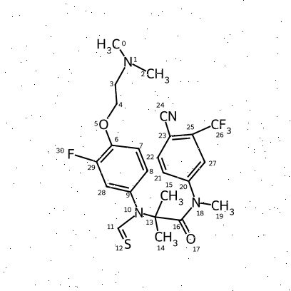 CN(C)CCOc1ccc(N(C=S)C(C)(C)C(=O)N(C)c2ccc(C#N)c(C(F)(F)F)c2)cc1F